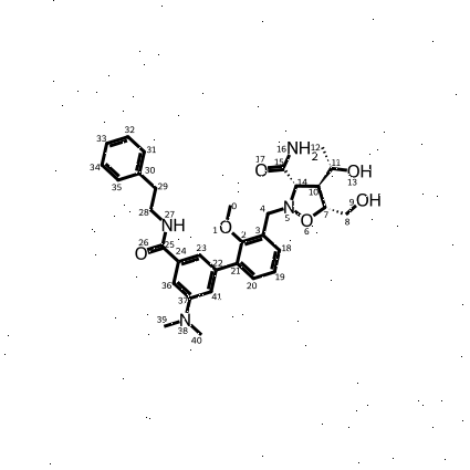 COc1c(CN2O[C@@H](CO)[C@H]([C@H](C)O)[C@H]2C(N)=O)cccc1-c1cc(C(=O)NCCc2ccccc2)cc(N(C)C)c1